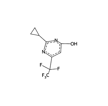 Oc1cc(C(F)(F)C(F)(F)F)nc(C2CC2)n1